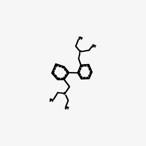 CC(C)CP(Cc1ccccc1-c1ccccc1CP(CC(C)C)CC(C)C)CC(C)C